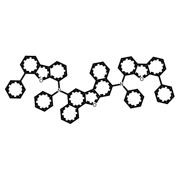 c1ccc(-c2cccc3c2oc2c(N(c4ccccc4)c4cc5c(oc6cc(N(c7ccccc7)c7cccc8c7oc7c(-c9ccccc9)cccc78)c7ccccc7c65)c5ccccc45)cccc23)cc1